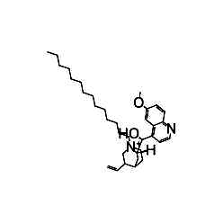 C=CC1C[N+]2(CCCCCCCCCCCCCC)CCC1C[C@H]2[C@@H](O)c1ccnc2ccc(OC)cc12